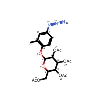 CC(=O)OCC1OC(Oc2ccc(N=[N+]=[N-])cc2C)C(OC(C)=O)C(OC(C)=O)C1OC(C)=O